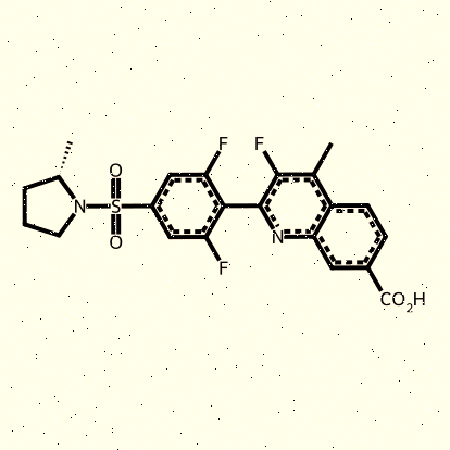 Cc1c(F)c(-c2c(F)cc(S(=O)(=O)N3CCC[C@@H]3C)cc2F)nc2cc(C(=O)O)ccc12